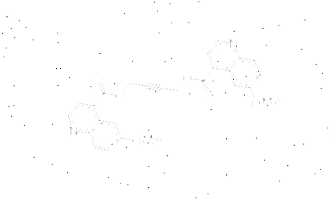 COc1ccc2nccc(C(=O)OCC#CCOC(=O)c3ccnc4ccc(OC)cc34)c2c1